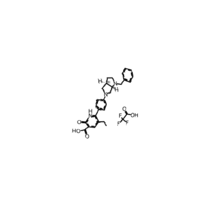 CCc1cc(C(=O)O)c(=O)[nH]c1-c1ccc(N2C[C@H]3CCN(Cc4ccccc4)[C@H]3C2)cc1.O=C(O)C(F)(F)F